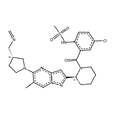 C=NC[C@H]1CCN(c2nc3cc([C@@H]4CCCCN4C(=O)c4cc(Cl)ccc4NS(C)(=O)=O)nn3cc2C)C1